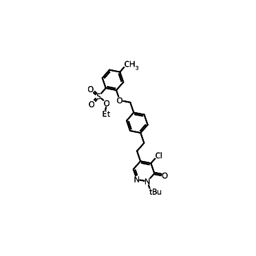 CCOS(=O)(=O)c1ccc(C)cc1OCc1ccc(CCc2cnn(C(C)(C)C)c(=O)c2Cl)cc1